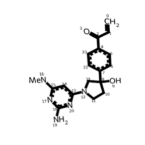 C=CC(=O)c1ccc(C2(O)CCN(c3cc(NC)nc(N)n3)C2)cc1